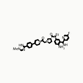 CCN(C(=O)[C@@H]1CCN(CC(=O)N2CC=C(c3ccc(C(=N)/N=C\NC)cc3)CC2)C1)c1ccc(N)c(C(=N)c2ccc(F)cn2)c1